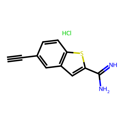 C#Cc1ccc2sc(C(=N)N)cc2c1.Cl